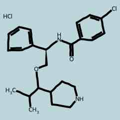 CC(C)C(OC[C@H](NC(=O)c1ccc(Cl)cc1)c1ccccc1)C1CCNCC1.Cl